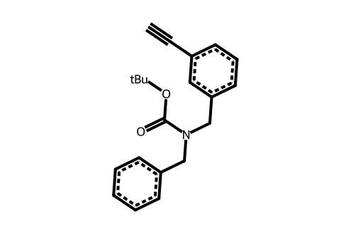 C#Cc1cccc(CN(Cc2ccccc2)C(=O)OC(C)(C)C)c1